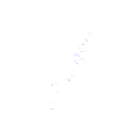 C[C@H](NCC(=O)Nc1ccc(-c2ccnc(Nc3ccc(N4CCOCC4)cc3)n2)cc1)C(=O)OCc1ccccc1